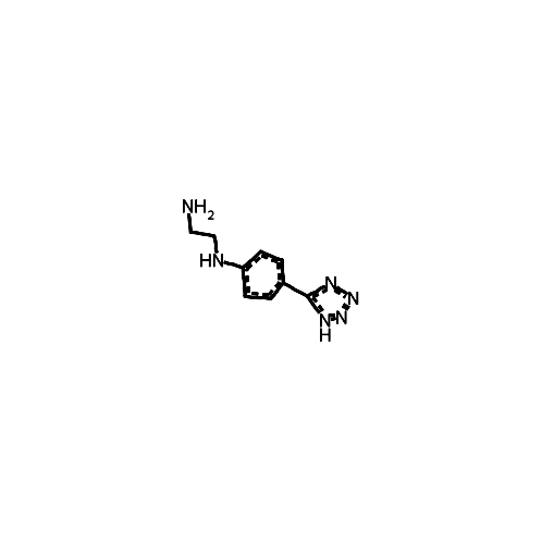 NCCNc1ccc(-c2nnn[nH]2)cc1